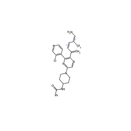 C=C(/C=C\C(=C/N)C(F)(F)F)c1ncc(N2CCC(NC(=O)C(C)C)CC2)nc1-c1ccncc1Cl